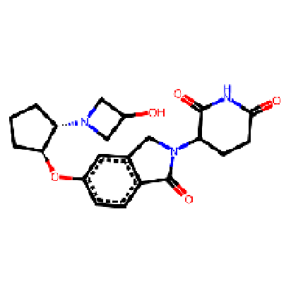 O=C1CCC(N2Cc3cc(O[C@H]4CCC[C@@H]4N4CC(O)C4)ccc3C2=O)C(=O)N1